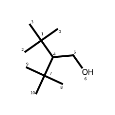 CC(C)(C)C(CO)C(C)(C)C